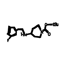 CC(C)(C)OC(=O)N1CCC(NCc2cccc(F)c2)CC1